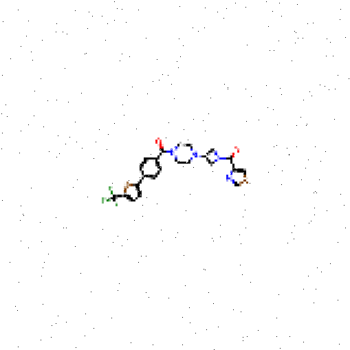 O=C(c1ccc(-c2ccc(C(F)(F)F)s2)cc1)N1CCN(C2CN(C(=O)c3cscn3)C2)CC1